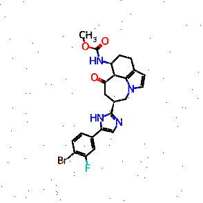 COC(=O)N[C@H]1CCc2ccn3c2C1C(=O)C[C@H](c1ncc(-c2ccc(Br)c(F)c2)[nH]1)C3